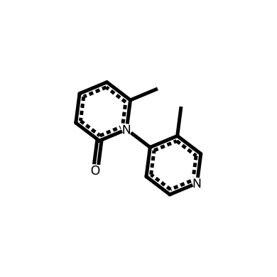 Cc1cnccc1-n1c(C)cccc1=O